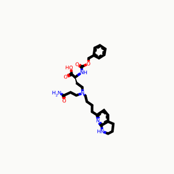 NC(=O)CCN(CCCCc1ccc2c(n1)NCCC2)CC[C@H](NC(=O)OCc1ccccc1)C(=O)O